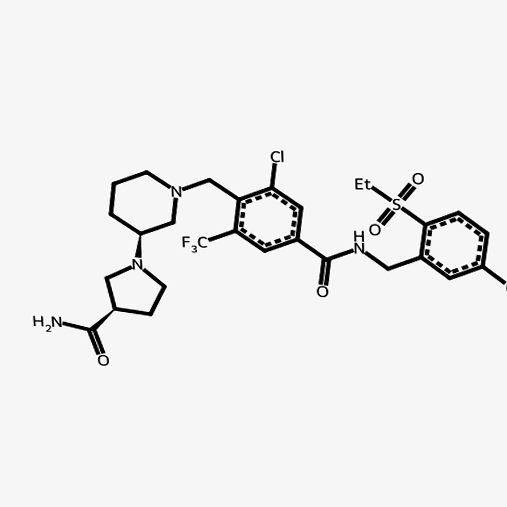 CCS(=O)(=O)c1ccc(Cl)cc1CNC(=O)c1cc(Cl)c(CN2CCC[C@H](N3CC[C@@H](C(N)=O)C3)C2)c(C(F)(F)F)c1